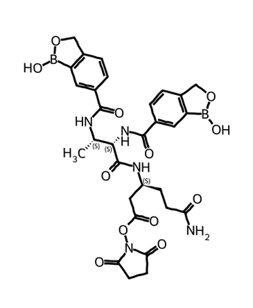 C[C@H](NC(=O)c1ccc2c(c1)B(O)OC2)[C@H](NC(=O)c1ccc2c(c1)B(O)OC2)C(=O)N[C@@H](CCC(N)=O)CC(=O)ON1C(=O)CCC1=O